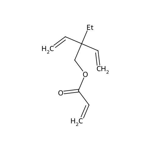 C=CC(=O)OCC(C=C)(C=C)CC